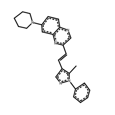 Cc1c(C=Cc2cnc3ccc(N4CCCCC4)cc3n2)cnn1-c1ccccc1